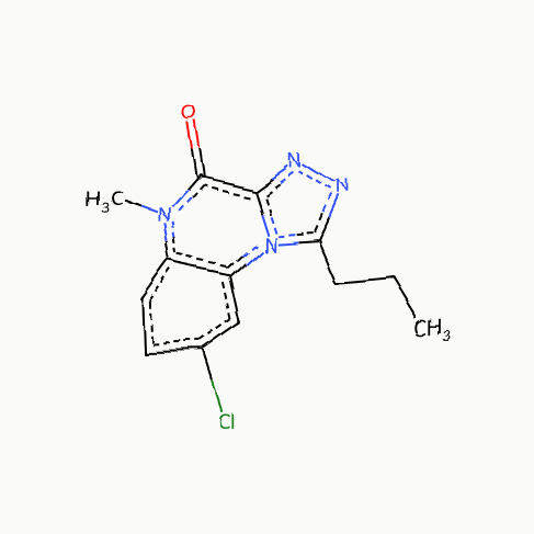 CCCc1nnc2c(=O)n(C)c3ccc(Cl)cc3n12